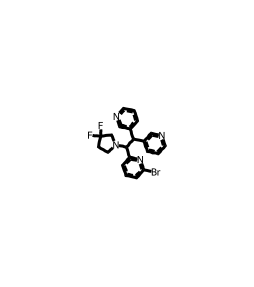 FC1(F)CCN(C(c2cccc(Br)n2)C(c2cccnc2)c2cccnc2)C1